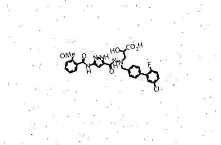 COc1ccccc1C(=O)Nc1cc(C(=O)NN(Cc2ccc(-c3cc(Cl)ccc3F)cc2)CC(O)C(=O)O)[nH]n1